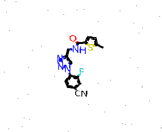 Cc1ccc(C(=O)NCc2cn(-c3ccc(C#N)cc3F)nn2)s1